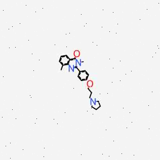 Cc1cccc2c(=O)n(C)c(-c3ccc(OCCCN4CCCC4)cc3)nc12